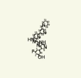 Oc1cc(F)cc(-c2cncc3[nH]c(-c4n[nH]c5ccc(-c6cncc(CN7CCCCC7)c6)nc45)nc23)c1